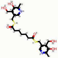 Cc1ncc(CSC(=O)CCCCCC(=O)SCc2cnc(C)c(O)c2CO)c(CO)c1O